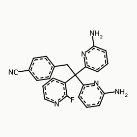 N#Cc1ccc(CC(c2cccc(N)n2)(c2cccc(N)n2)c2cccnc2F)cc1